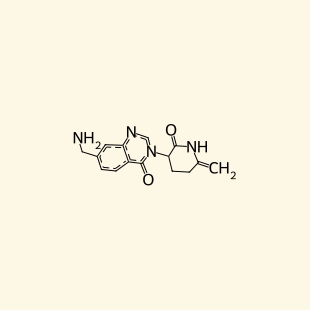 C=C1CCC(n2cnc3cc(CN)ccc3c2=O)C(=O)N1